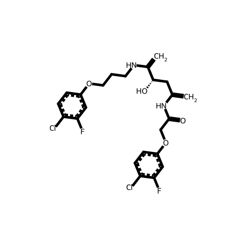 C=C(C[C@H](O)C(=C)NCCCOc1ccc(Cl)c(F)c1)NC(=O)COc1ccc(Cl)c(F)c1